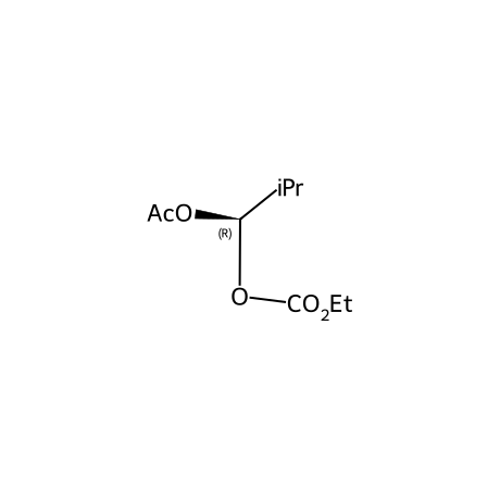 CCOC(=O)O[C@@H](OC(C)=O)C(C)C